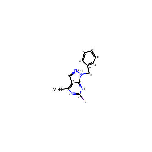 CNc1nc(I)nc2c1cnn2Cc1ccccc1